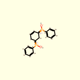 [O-]/[P+](=C1\C=CC/C(=[P+](/[O-])c2ccccc2)C1)c1ccccc1